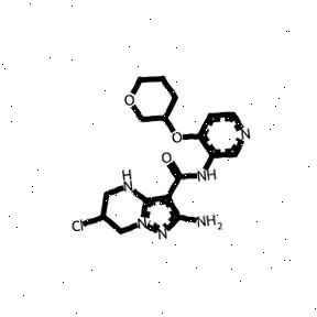 Nc1nn2c(c1C(=O)Nc1cnccc1OC1CCCOC1)NCC(Cl)C2